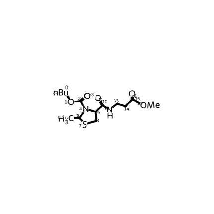 CCCCOC(=O)N1C(C)SCC1C(=O)NCCC(=O)OC